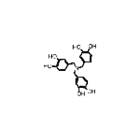 Oc1ccc(CN(Cc2ccc(O)c(O)c2)Cc2ccc(O)c(O)c2)cc1O